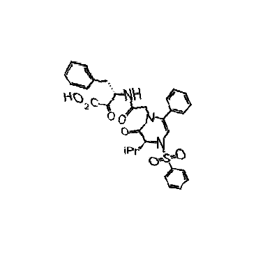 CC(C)[C@H]1C(=O)N(CC(=O)N[C@@H](Cc2ccccc2)C(=O)C(=O)O)C(c2ccccc2)=CN1S(=O)(=O)c1ccccc1